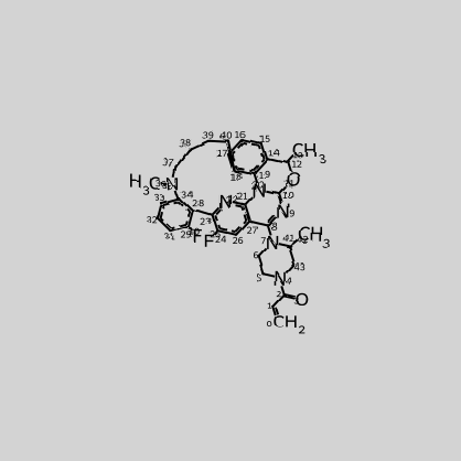 C=CC(=O)N1CCN(C2=NC3OC(C)c4cccc5c4N3c3nc(c(F)cc32)-c2c(F)cccc2N(C)CCCC5)[C@@H](C)C1